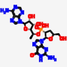 C[C@H](OP(=O)(O)[C@@H]1C[C@@H](CO)O[C@H]1n1cnc2c(=O)[nH]c(N)nc21)[C@@H]1O[C@@H](n2cnc3c(N)ncnc32)[C@H](O)[C@@H]1O